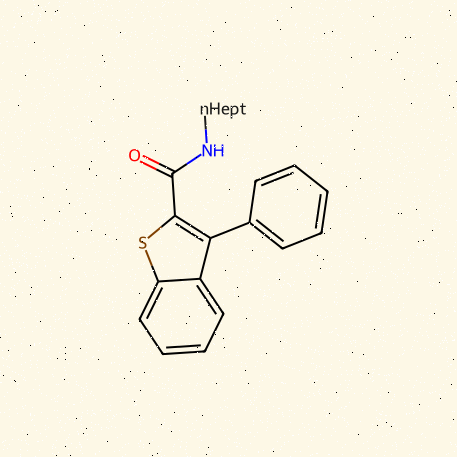 CCCCCCCNC(=O)c1sc2ccccc2c1-c1ccccc1